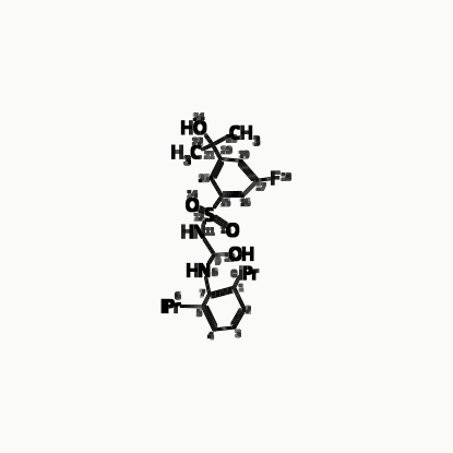 CC(C)c1cccc(C(C)C)c1NC(O)NS(=O)(=O)c1cc(F)cc(C(C)(C)O)c1